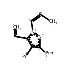 C=Cc1c(C(C)C)c(C(C)CCC)nn1/C=C\C